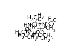 Cc1cc(Nc2cc(C(C)C)c(F)c(CC3(C(=O)OC(C)(C)C)CCN(Cc4cccc(Cl)c4F)[C@H](C)C3)n2)nn1C(C)(C)C